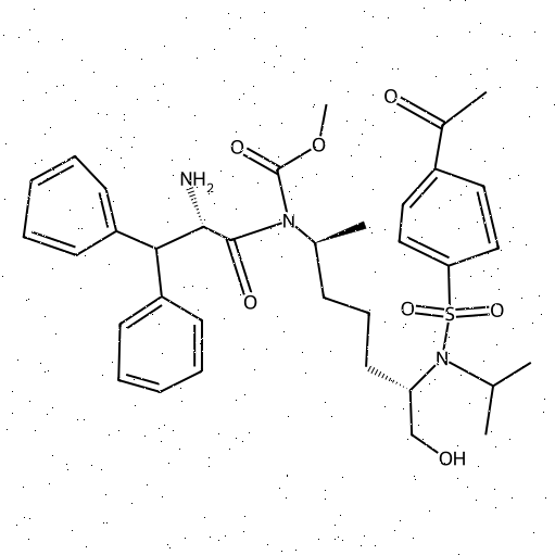 COC(=O)N(C(=O)[C@@H](N)C(c1ccccc1)c1ccccc1)[C@@H](C)CCC[C@@H](CO)N(C(C)C)S(=O)(=O)c1ccc(C(C)=O)cc1